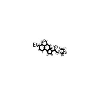 CCCC1C(CC)CCC2C1CCC1(C)C(C(=O)Cn3ccnc3)CCC21